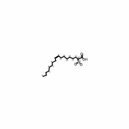 CCCCCCCC/C=C\CCCCCCC(C(=O)O)=S(=O)=O